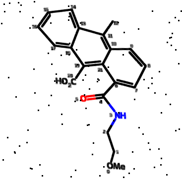 COCCNC(=O)c1cccc2c(C)c3ccccc3c(C(=O)O)c12